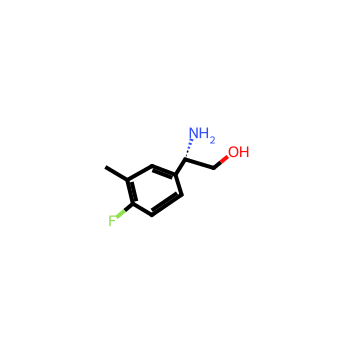 Cc1cc([C@H](N)CO)ccc1F